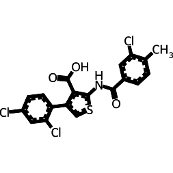 Cc1ccc(C(=O)Nc2scc(-c3ccc(Cl)cc3Cl)c2C(=O)O)cc1Cl